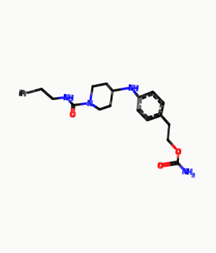 CC(C)CCNC(=O)N1CCC(Nc2ccc(CCOC(N)=O)cc2)CC1